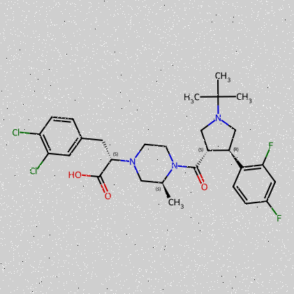 C[C@H]1CN([C@@H](Cc2ccc(Cl)c(Cl)c2)C(=O)O)CCN1C(=O)[C@@H]1CN(C(C)(C)C)C[C@H]1c1ccc(F)cc1F